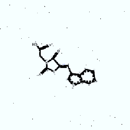 O=C(O)CN1C(=O)/C(=C/c2csc3ccccc23)SC1=S